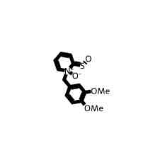 COc1ccc(C[N+]2([O-])C=CC=CC2=S=O)cc1OC